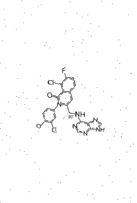 C[C@@H](Nc1ncnc2[nH]cnc12)c1cc2ccc(F)c(Cl)c2c(=O)n1-c1ccc(Cl)c(Cl)c1